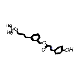 O=C(/C=C/c1ccc(O)cc1)OCc1cccc(CCCON(O)O)c1